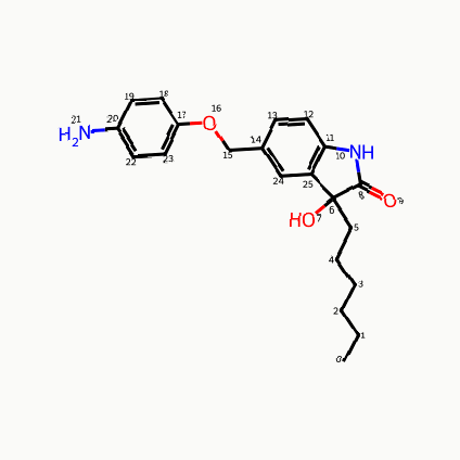 CCCCCCC1(O)C(=O)Nc2ccc(COc3ccc(N)cc3)cc21